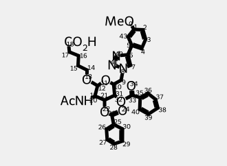 COc1cccc(-c2cn(CC3OC(OCCCCC(=O)O)C(NC(C)=O)C(OC(=O)c4ccccc4)C3OC(=O)c3ccccc3)nn2)c1